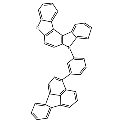 c1cc(-c2ccc3c4c(cccc24)-c2ccccc2-3)cc(-n2c3ccccc3c3c4c(ccc32)oc2ccccc24)c1